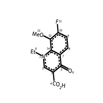 CCn1cc(C(=O)O)c(=O)c2ccc(F)c(OC)c21